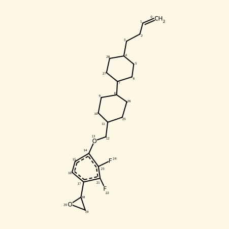 C=CCCC1CCC(C2CCC(COc3ccc(C4CO4)c(F)c3F)CC2)CC1